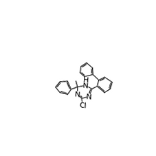 CC1(c2ccccc2)N=C(Cl)N=C(c2ccccc2-c2ccccc2)N1